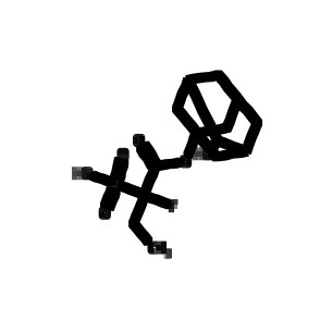 CCC(F)(C(=O)OC12CC3CC(C1)C(O)C(C3)C2)S(=O)(=O)O